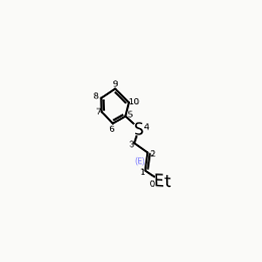 CC/C=C/CSc1ccccc1